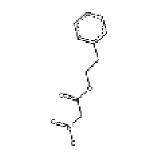 O=C(C[N+](=O)[O-])OCCc1ccccc1